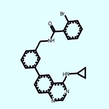 O=C(NCc1cccc(-c2ccc3ncnc(NC4CC4)c3c2)c1)c1ccccc1Br